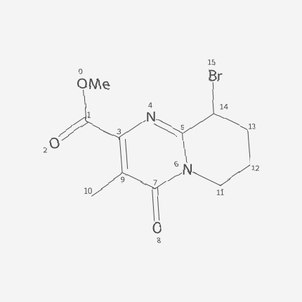 COC(=O)c1nc2n(c(=O)c1C)CCCC2Br